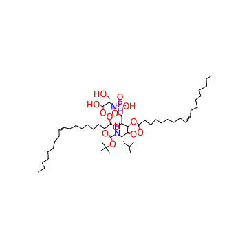 CCCCCCCC/C=C\CCCCCCCC(=O)OC(C(=O)[C@H](CC(C)C)NC(=O)OC(C)(C)C)[C@H](CON([C@@H](CO)C(=O)O)[PH](=O)O)OC(=O)CCCCCCC/C=C\CCCCCCCC